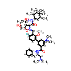 COc1c(-c2cc(C(=O)N[C@@H](Cc3ccccc3)CN(C)C)cc(N(C)C)c2)ccc(F)c1CN1O[C@@H](CO)[C@@H]([C@H](C)O)[C@H]1C(=O)N[C@H]1C[C@@H](C)C(C)(C)[C@@H](C)[C@@H]1C